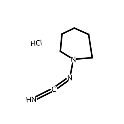 Cl.N=C=NN1CCCCC1